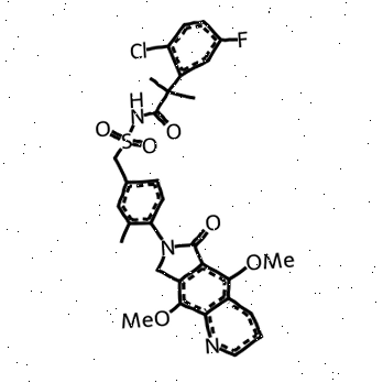 COc1c2c(c(OC)c3ncccc13)CN(c1ccc(CS(=O)(=O)NC(=O)C(C)(C)c3cc(F)ccc3Cl)cc1C)C2=O